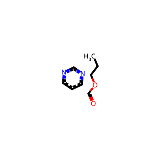 CCCOC=O.c1cncnc1